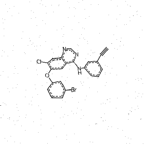 C#Cc1cccc(Nc2ncnc3cc(Cl)c(Oc4cccc(Br)c4)cc23)c1